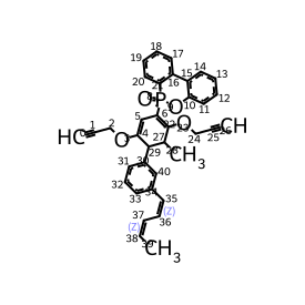 C#CCOC1=CC(P2(=O)Oc3ccccc3-c3ccccc32)=C(OCC#C)C(C)C1c1cccc(/C=C\C=C/C)c1